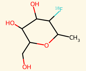 CC1OC(CO)C(O)C(O)C1[18F]